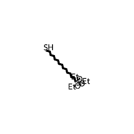 CCO[Si](CCCCCCCCCCCCCCCS)(OCC)OCC